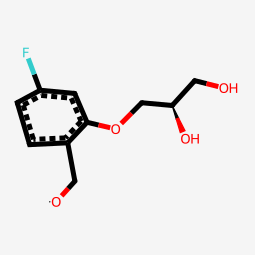 [O]Cc1ccc(F)cc1OC[C@H](O)CO